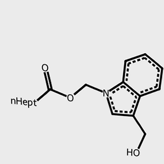 CCCCCCCC(=O)OCn1cc(CO)c2ccccc21